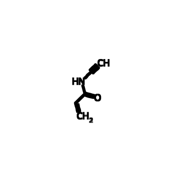 C#CNC(=O)C=C